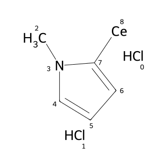 Cl.Cl.Cn1ccc[c]1[Ce]